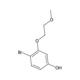 COCCOc1cc(O)ccc1Br